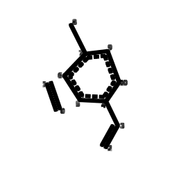 C=C.C=Cc1ccc(C)cc1